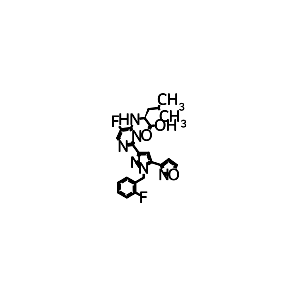 CC(C)C[C@H](Nc1nc(-c2cc(-c3ccon3)n(Cc3ccccc3F)n2)ncc1F)C(=O)O